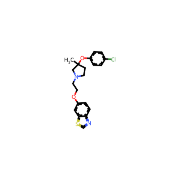 CC1(Oc2ccc(Cl)cc2)CCN(CCOc2ccc3ncsc3c2)C1